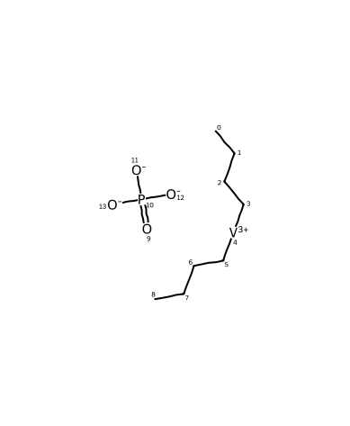 CCC[CH2][V+3][CH2]CCC.O=P([O-])([O-])[O-]